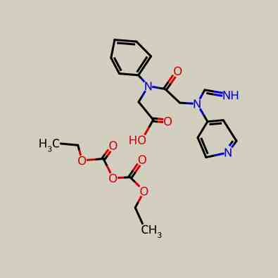 CCOC(=O)OC(=O)OCC.N=CN(CC(=O)N(CC(=O)O)c1ccccc1)c1ccncc1